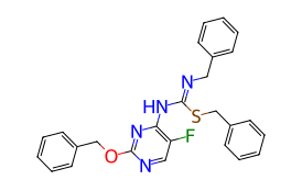 Fc1cnc(OCc2ccccc2)nc1N/C(=N/Cc1ccccc1)SCc1ccccc1